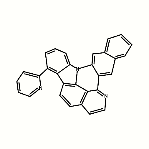 c1ccc(-c2cccc3c2c2ccc4ccnc5c6cc7ccccc7cc6n3c2c45)nc1